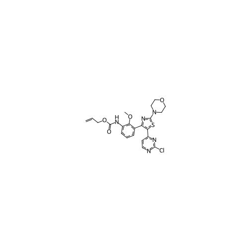 C=CCOC(=O)Nc1cccc(-c2nc(N3CCOCC3)sc2-c2ccnc(Cl)n2)c1OC